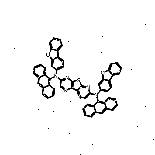 c1ccc2c(N(c3ccc4c(c3)oc3ccccc34)c3cnc4c(n3)sc3nc(N(c5ccc6c(c5)oc5ccccc56)c5c6ccccc6cc6ccccc56)cnc34)c3ccccc3cc2c1